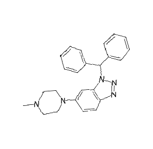 CN1CCN(c2ccc3nnn(C(c4ccccc4)c4ccccc4)c3c2)CC1